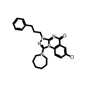 O=c1nc2n(CCCc3ccccc3)nc(N3CCCCCC3)n2c2ccc(Cl)cc12